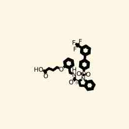 O=C(O)CCCOc1ccccc1CNC(=O)[C@@H]1Cc2ccccc2N1S(=O)(=O)c1ccc(-c2cccc(C(F)(F)F)c2)cc1